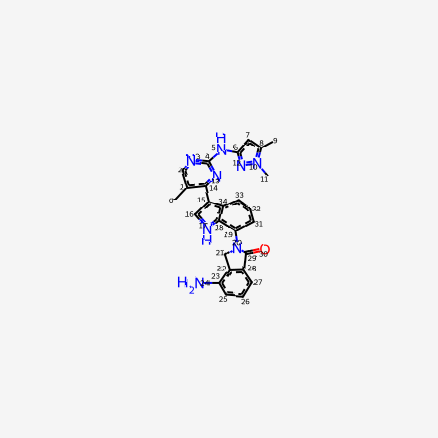 Cc1cnc(Nc2cc(C)n(C)n2)nc1-c1c[nH]c2c(N3Cc4c(N)cccc4C3=O)cccc12